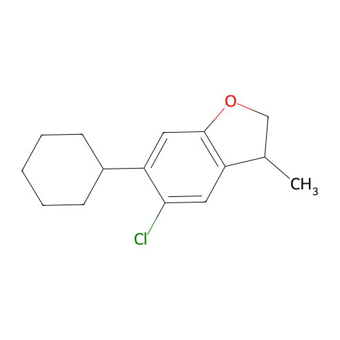 CC1COc2cc(C3CCCCC3)c(Cl)cc21